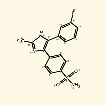 NS(=O)(=O)c1ccc(-c2nc(C(F)(F)F)[nH]c2-c2cccc(F)c2)cc1